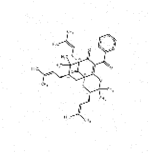 CC(C)=CC[C@H]1C[C@@]23C[C@@H](CC=C(C)C)C(C)(C)[C@@](CC=C(C)C)(C(=O)C(C(=O)c4ccccc4)=C2OC1(C)C)C3=O